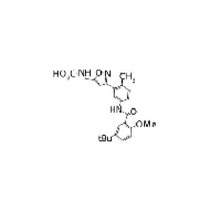 COc1ccc(C(C)(C)C)cc1C(=O)Nc1ccc(C)c(-c2cc(CNC(=O)O)on2)c1